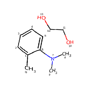 Cc1ccccc1N(C)C.OCCO